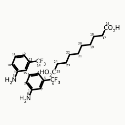 Nc1cccc(C(F)(F)F)c1.Nc1cccc(C(F)(F)F)c1.O=C(O)CCCCCCCCC(=O)O